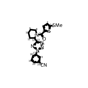 CSc1ccc(C(=O)N2CCCCC2c2nnn(-c3cccc(C#N)c3)n2)s1